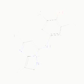 CCOC(=O)c1cnn2c(Nc3cc(C(C)(C)C)c(O)c(C(C)(C)C)c3)cc(C)nc12